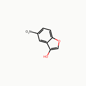 O=[N+]([O-])c1ccc2o[c]c(O)c2c1